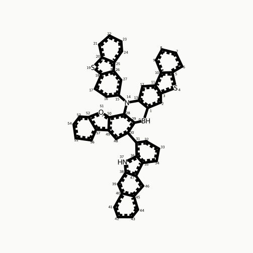 B1c2cc3sc4ccccc4c3cc2N(c2ccc3sc4ccccc4c3c2)c2c1c(-c1cccc3c1[nH]c1cc4ccccc4cc13)cc1c2oc2ccccc21